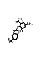 CC(=O)c1cc(N)cc(Cl)c1Sc1nc2cc(C(F)(F)F)ccc2s1